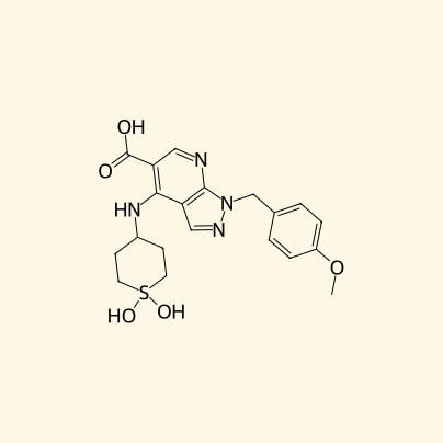 COc1ccc(Cn2ncc3c(NC4CCS(O)(O)CC4)c(C(=O)O)cnc32)cc1